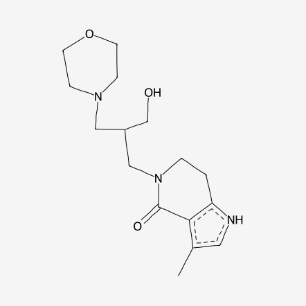 Cc1c[nH]c2c1C(=O)N(CC(CO)CN1CCOCC1)CC2